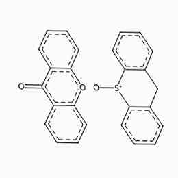 O=c1c2ccccc2oc2ccccc12.[O-][S+]1c2ccccc2Cc2ccccc21